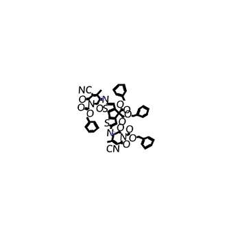 CC1=C(C#N)C(=O)N(C(=O)OCc2ccccc2)C(=O)/C1=N\c1cc2c(s1)-c1sc(/N=C3\C(=O)N(C(=O)OCc4ccccc4)C(=O)C(C#N)=C3C)cc1C2(C(=O)OCc1ccccc1)C(=O)OCc1ccccc1